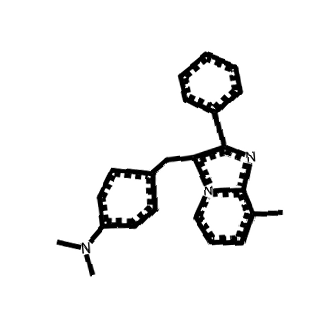 Cc1cccn2c(Cc3ccc(N(C)C)cc3)c(-c3ccccc3)nc12